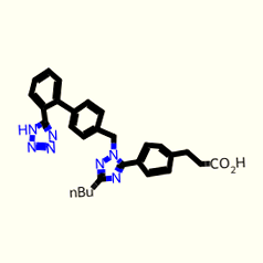 CCCCc1nc(-c2ccc(CCC(=O)O)cc2)n(Cc2ccc(-c3ccccc3-c3nnn[nH]3)cc2)n1